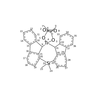 CC(=O)[O][Ti]1([O]C(C)=O)[CH]2c3ccccc3-c3cccc(c32)[Si](C)(C)c2cccc3c2[CH]1c1ccccc1-3